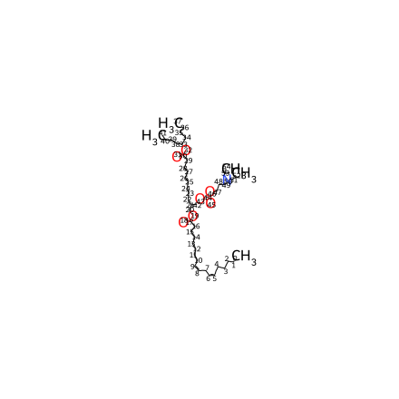 CCCCC/C=C\C/C=C\CCCCCCCC(=O)OCC(CCCCCCCCC(=O)OC(CCCC)CCCC)COC(=O)OCCCN(CC)CC